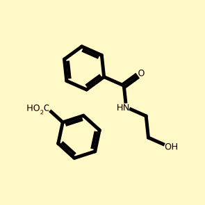 O=C(NCCO)c1ccccc1.O=C(O)c1ccccc1